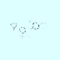 COC(=O)c1cc(NS(C)(=O)=O)ccc1CCc1cc(-c2c[nH]c(=O)[nH]c2=O)cc(C(C)(C)C)c1OC